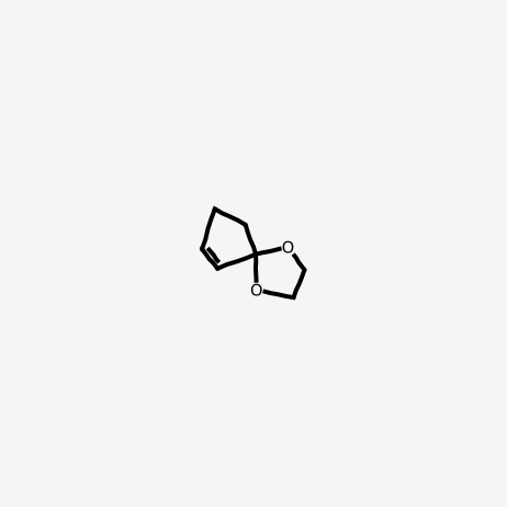 C1=CC2(CC1)OCCO2